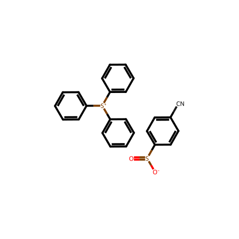 N#Cc1ccc(S(=O)[O-])cc1.c1ccc([S+](c2ccccc2)c2ccccc2)cc1